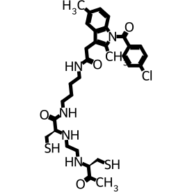 CC(=O)[C@H](CS)NCCN[C@@H](CS)C(=O)NCCCCNC(=O)Cc1c(C)n(C(=O)c2ccc(Cl)cc2)c2ccc(C)cc12